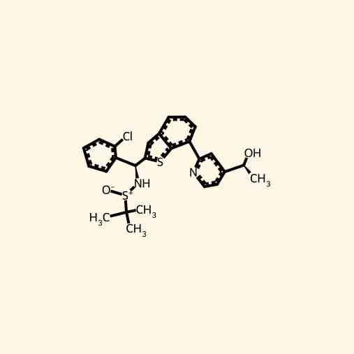 C[C@H](O)c1ccnc(-c2cccc3cc([C@@H](N[S+]([O-])C(C)(C)C)c4ccccc4Cl)sc23)c1